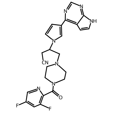 N#CCC(CN1CCN(C(=O)c2ncc(F)cc2F)CC1)n1ccc(-c2ncnc3[nH]ccc23)c1